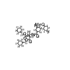 COc1ccc(F)cc1-c1cc(F)cc(C(=O)NC[C@@H](NC(=O)OCc2ccccc2)C(=O)OCc2ccccc2)c1